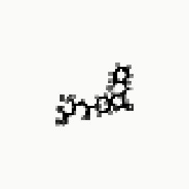 CC(CC(=O)O)CC(=O)N1CCC2(CC1)CN(Cc1ccccc1F)C(=O)O2